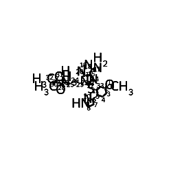 COc1ccc(-c2cc[nH]n2)c(Sc2nc3c(N)ncnc3n2CCCNC(=O)C(C)(C)C)c1